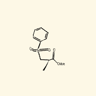 COC(=O)[C@@H](C)CS(=O)(=O)c1ccccc1